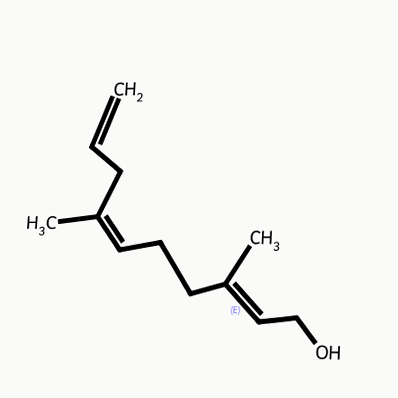 C=CCC(C)=CCC/C(C)=C/CO